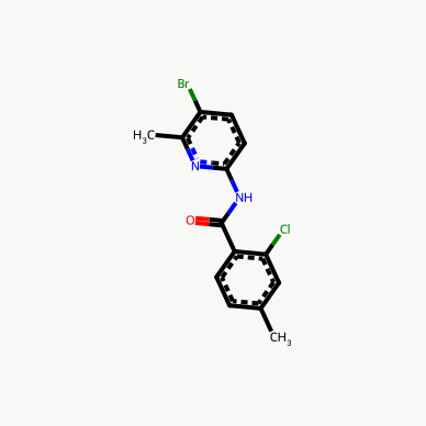 Cc1ccc(C(=O)Nc2ccc(Br)c(C)n2)c(Cl)c1